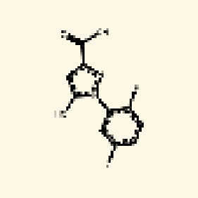 O=C(O)c1cc(O)n(-c2cc(F)ccc2F)n1